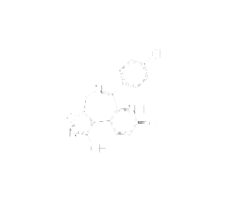 Cc1noc2c1-c1ccc(=O)[nH]c1C(c1ccc(Cl)cc1)=NC2